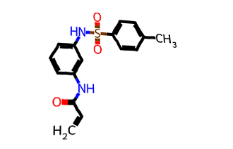 C=CC(=O)Nc1cccc(NS(=O)(=O)c2ccc(C)cc2)c1